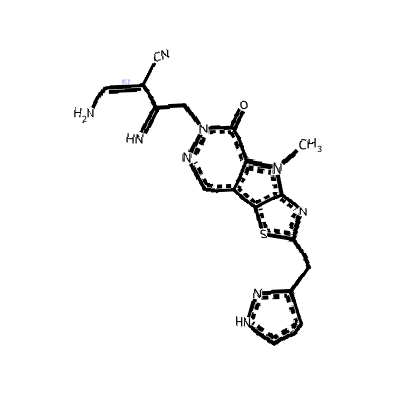 Cn1c2nc(Cc3cc[nH]n3)sc2c2cnn(CC(=N)/C(C#N)=C\N)c(=O)c21